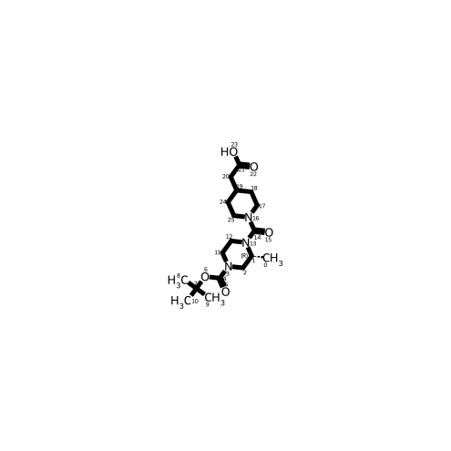 C[C@@H]1CN(C(=O)OC(C)(C)C)CCN1C(=O)N1CCC(CC(=O)O)CC1